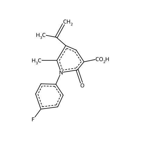 C=C(C)c1cc(C(=O)O)c(=O)n(-c2ccc(F)cc2)c1C